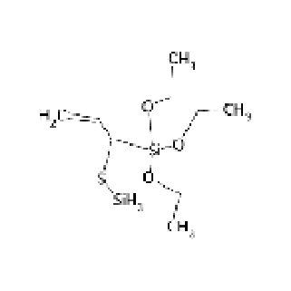 C=CC(S[SiH3])[Si](OCC)(OCC)OCC